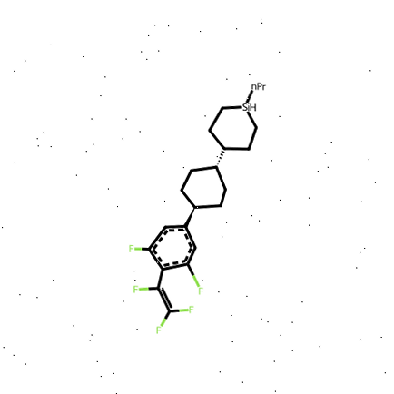 CCC[SiH]1CCC([C@H]2CC[C@H](c3cc(F)c(C(F)=C(F)F)c(F)c3)CC2)CC1